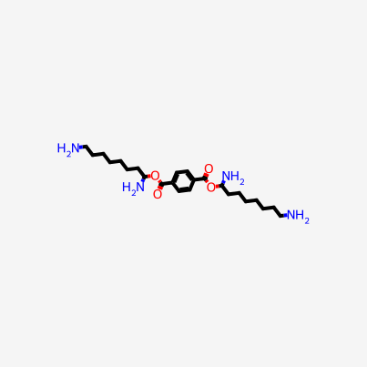 NCCCCCCCC(N)OC(=O)c1ccc(C(=O)OC(N)CCCCCCCN)cc1